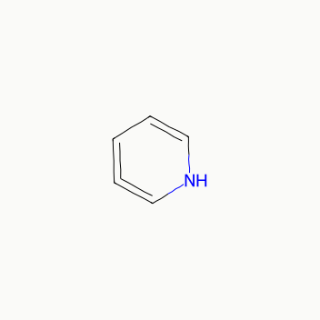 C1=CC=CNC=1